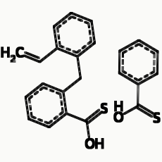 C=Cc1ccccc1Cc1ccccc1C(O)=S.OC(=S)c1ccccc1